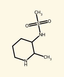 CC1NCCCC1NS(C)(=O)=O